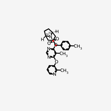 Cc1ccc(CS(=O)(=O)N2[C@H]3CC[C@H]2CC(Oc2ncnc(Oc4cccnc4C)c2C)C3)cc1